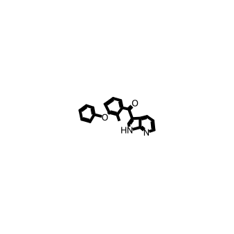 Cc1c(Oc2ccccc2)cccc1C(=O)c1c[nH]c2ncccc12